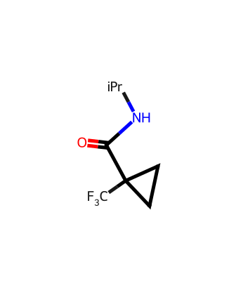 CC(C)NC(=O)C1(C(F)(F)F)CC1